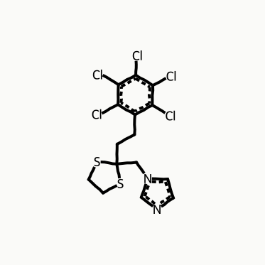 Clc1c(Cl)c(Cl)c(CCC2(Cn3ccnc3)SCCS2)c(Cl)c1Cl